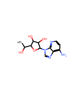 CCCC(O)C1OC(n2cnc3c(N)ccnc32)C(O)C1O